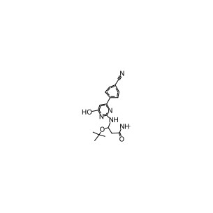 CC(C)(C)OC(CC([NH])=O)Nc1nc(O)cc(-c2ccc(C#N)cc2)n1